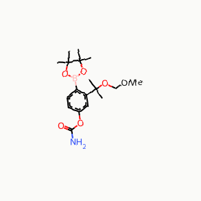 COCOC(C)(C)c1cc(OC(N)=O)ccc1B1OC(C)(C)C(C)(C)O1